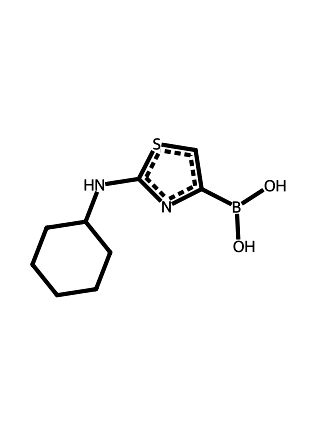 OB(O)c1csc(NC2CCCCC2)n1